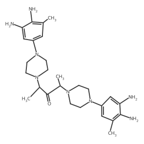 Cc1cc(N2CCN(C(C)C(=O)C(C)N3CCN(c4cc(C)c(N)c(N)c4)CC3)CC2)cc(N)c1N